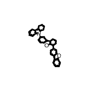 c1ccc2c(c1)oc1cc(-c3cccc4c3oc3ccc(-n5c6ccccc6c6ccccc65)cc34)ccc12